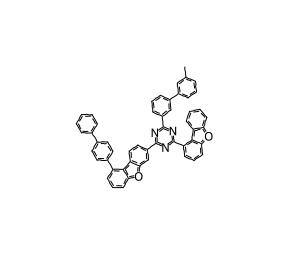 Cc1cccc(-c2cccc(-c3nc(-c4ccc5c(c4)oc4cccc(-c6ccc(-c7ccccc7)cc6)c45)nc(-c4cccc5oc6ccccc6c45)n3)c2)c1